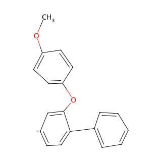 COc1ccc(Oc2c[c]ccc2-c2ccccc2)cc1